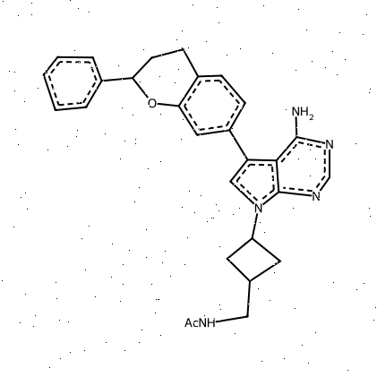 CC(=O)NCC1CC(n2cc(-c3ccc4c(c3)OC(c3ccccc3)CC4)c3c(N)ncnc32)C1